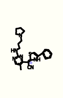 Cc1cnc(NCCCN2CCCC2)nc1/C(C#N)=C1/NC(c2ccccc2)=CS1